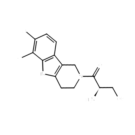 N[C@H](CO)C(=O)N1CCc2[nH]c3c(Cl)c(Cl)ccc3c2C1